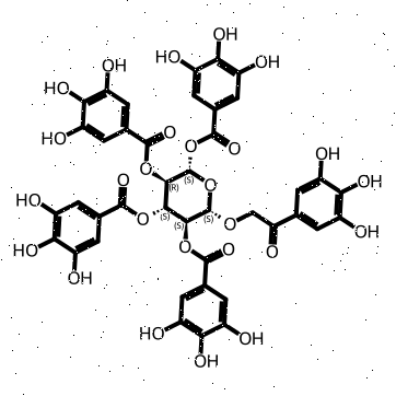 O=C(CO[C@H]1O[C@@H](OC(=O)c2cc(O)c(O)c(O)c2)[C@H](OC(=O)c2cc(O)c(O)c(O)c2)[C@@H](OC(=O)c2cc(O)c(O)c(O)c2)[C@@H]1OC(=O)c1cc(O)c(O)c(O)c1)c1cc(O)c(O)c(O)c1